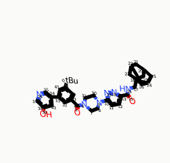 CC(C)(C)c1cc(C(=O)N2CCN(c3ccc(C(=O)NCC45CC6CC(CC(C6)C4)C5)nn3)CC2)cc(-c2cncc(O)c2)c1